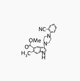 COC(=O)c1cc2c(N3CCN(c4ccccc4C#N)CC3)c[nH]c2cc1C